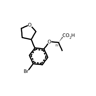 C[C@H](Oc1ccc(Br)cc1C1CCOC1)C(=O)O